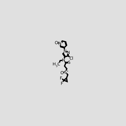 CCN(C(=S)CC[S+]([O-])CC1CC1(F)F)c1cn(-c2ccc[n+]([O-])c2)nc1Cl